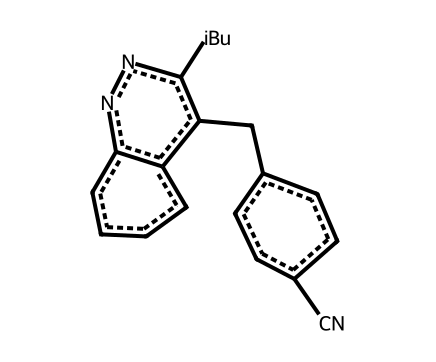 CCC(C)c1nnc2ccccc2c1Cc1ccc(C#N)cc1